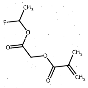 C=C(C)C(=O)OCC(=O)OC(C)F